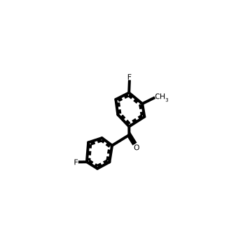 Cc1cc(C(=O)c2ccc(F)cc2)ccc1F